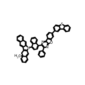 CC12C=CC=CC1=Cc1c(c3cc4ccccc4cc3n1-c1ccc(-c3nc4c(nc3-c3ccccc3)oc3cc(-c5ccc6sc7ccccc7c6c5)ccc34)c3ccccc13)C2